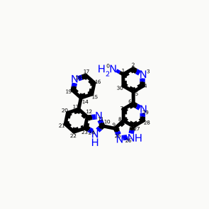 Nc1cncc(-c2cc3c(-c4nc5c(-c6cccnc6)cccc5[nH]4)n[nH]c3cn2)c1